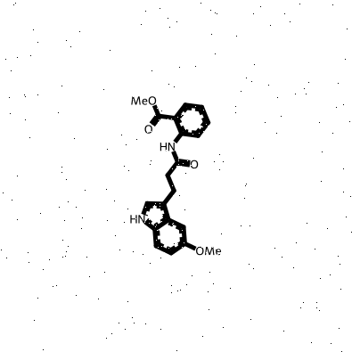 COC(=O)c1ccccc1NC(=O)CCc1c[nH]c2ccc(OC)cc12